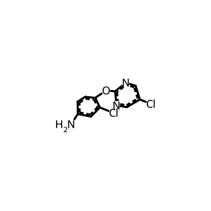 Nc1ccc(Oc2ncc(Cl)cn2)c(Cl)c1